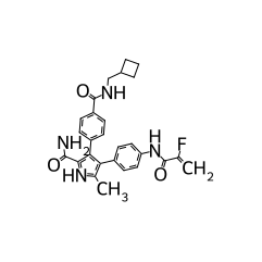 C=C(F)C(=O)Nc1ccc(-c2c(C)[nH]c(C(N)=O)c2-c2ccc(C(=O)NCC3CCC3)cc2)cc1